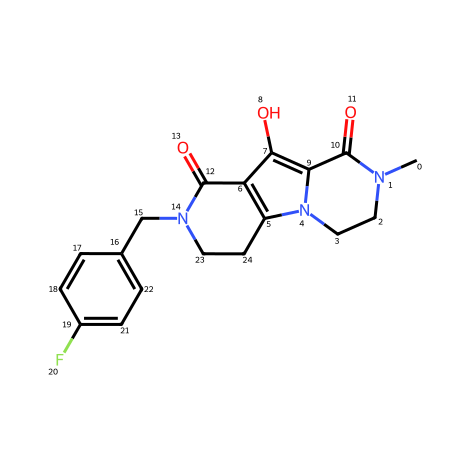 CN1CCn2c3c(c(O)c2C1=O)C(=O)N(Cc1ccc(F)cc1)CC3